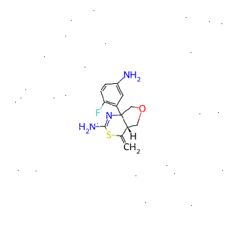 C=C1SC(N)=NC2(c3cc(N)ccc3F)COC[C@H]12